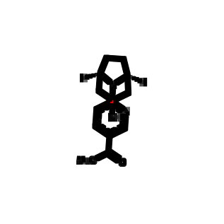 COC(=O)c1ccc(N2[C@@H]3CC[C@H]2C[C@@H](N)C3)nc1